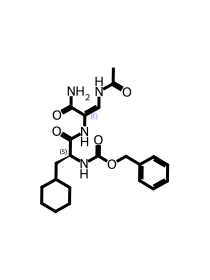 CC(=O)N/C=C(/NC(=O)[C@H](CC1CCCCC1)NC(=O)OCc1ccccc1)C(N)=O